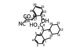 Cc1ccccc1C(C(=O)O)C1CCCCC1.N#CC(Cc1ccccc1O)C(=O)O